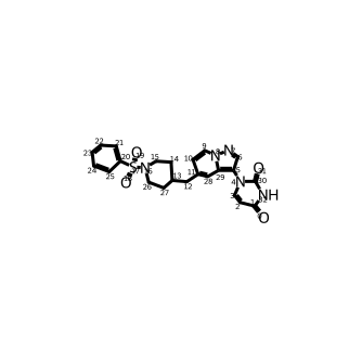 O=c1ccn(-c2cnn3ccc(CC4CCN(S(=O)(=O)c5ccccc5)CC4)cc23)c(=O)[nH]1